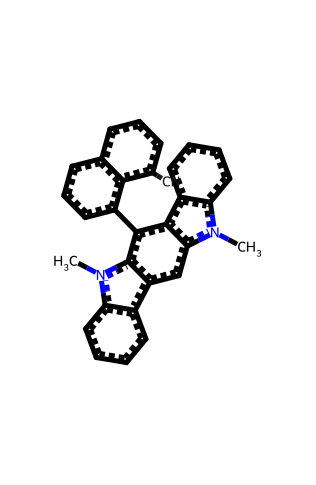 Cn1c2ccccc2c2c(-c3cccc4cccc(C#N)c34)c3c(cc21)c1ccccc1n3C